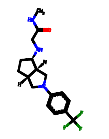 CNC(=O)CN[C@H]1CC[C@@H]2CN(c3ccc(C(F)(F)F)cc3)C[C@@H]21